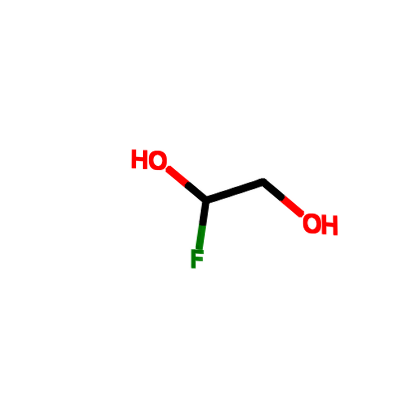 OCC(O)F